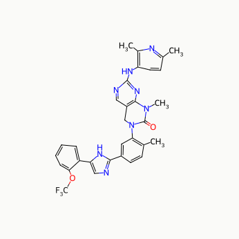 Cc1ccc(Nc2ncc3c(n2)N(C)C(=O)N(c2cc(-c4ncc(-c5ccccc5OC(F)(F)F)[nH]4)ccc2C)C3)c(C)n1